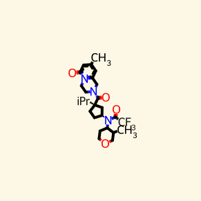 Cc1cc2n(c(=O)c1)CCN(C(=O)[C@@]1(C(C)C)CC[C@@H](N(C(=O)C(F)(F)F)C3CCOCC3C)C1)C2